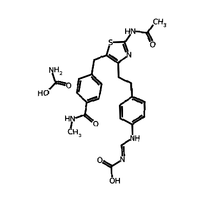 CNC(=O)c1ccc(Cc2sc(NC(C)=O)nc2CCc2ccc(NC=NC(=O)O)cc2)cc1.NC(=O)O